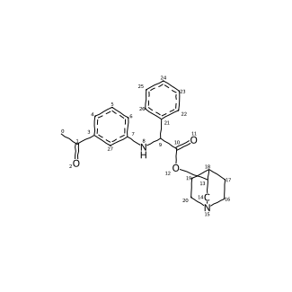 CC(=O)c1cccc(NC(C(=O)OC2CN3CCC2CC3)c2ccccc2)c1